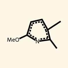 COc1ccc(C)c(C)n1